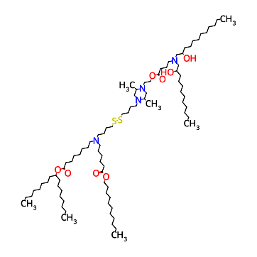 CCCCCCCCCCCOC(=O)CCCCCN(CCCCCCCC(=O)OC(CCCCCCCC)CCCCCCCC)CCCCSSCCCCN1CC(C)N(CCOC(=O)CCCN(CC(O)CCCCCCCCCC)CC(O)CCCCCCCCCC)CC1C